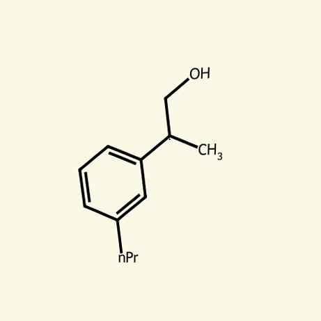 CCCc1cccc([C](C)CO)c1